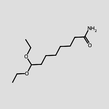 CCOC(CCCCCCC(N)=O)OCC